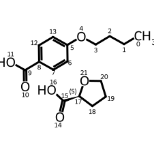 CCCCOc1ccc(C(=O)O)cc1.O=C(O)[C@@H]1CCCO1